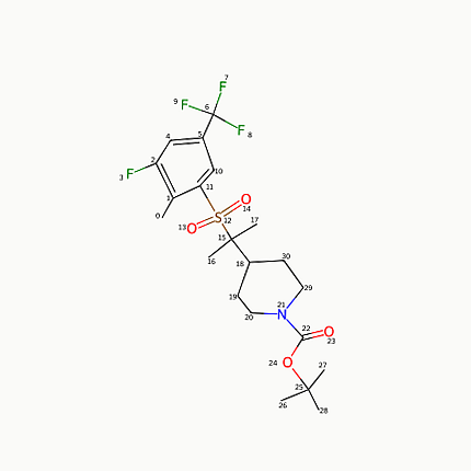 Cc1c(F)cc(C(F)(F)F)cc1S(=O)(=O)C(C)(C)C1CCN(C(=O)OC(C)(C)C)CC1